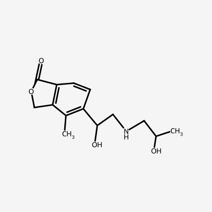 Cc1c(C(O)CNCC(C)O)ccc2c1COC2=O